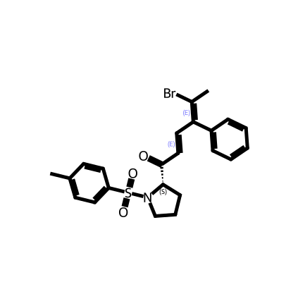 C/C(Br)=C(/C=C/C(=O)[C@@H]1CCCN1S(=O)(=O)c1ccc(C)cc1)c1ccccc1